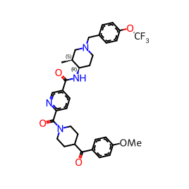 COc1ccc(C(=O)C2CCN(C(=O)c3ccc(C(=O)N[C@@H]4CCN(Cc5ccc(OC(F)(F)F)cc5)C[C@@H]4C)cn3)CC2)cc1